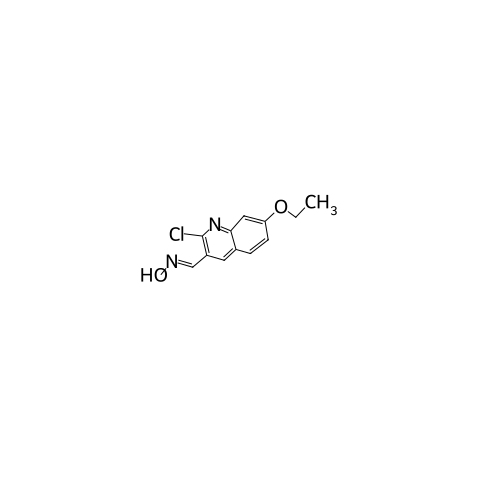 CCOc1ccc2cc(C=NO)c(Cl)nc2c1